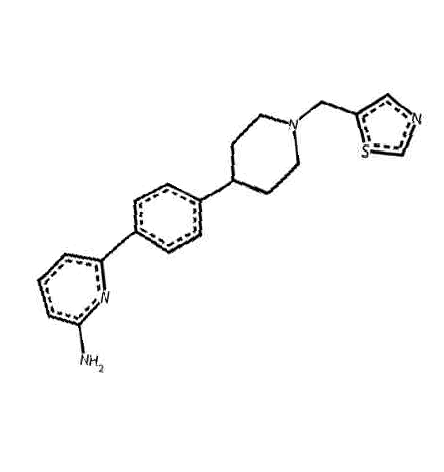 Nc1cccc(-c2ccc(C3CCN(Cc4cncs4)CC3)cc2)n1